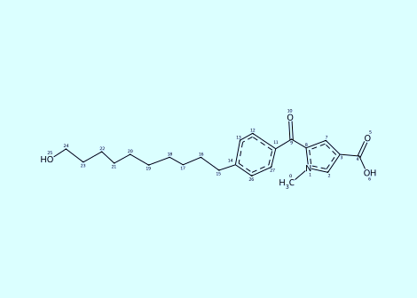 Cn1cc(C(=O)O)cc1C(=O)c1ccc(CCCCCCCCCCO)cc1